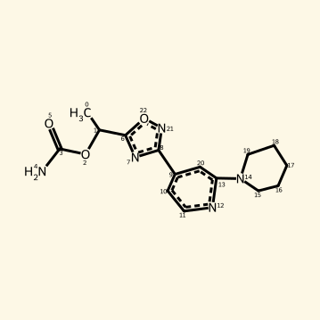 CC(OC(N)=O)c1nc(-c2ccnc(N3CCCCC3)c2)no1